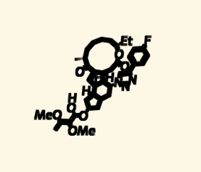 CC[C@H]1CCCC[C@@H](C)C(=O)C2=C[C@@H]3C([C@@H]2CC(=O)O1)[C@H](n1cc(-c2ccc(F)cc2)nn1)CC1C[C@@H](O[C@H](O)/C(OC)=C(/C)OC)C[C@H]13